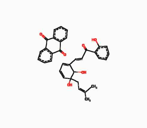 CC(C)=CCC1(O)C=CC=C(/C=C/C(=O)c2ccccc2O)C1O.O=C1c2ccccc2C(=O)c2ccccc21